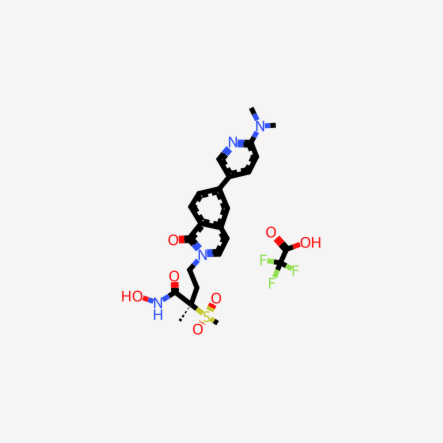 CN(C)c1ccc(-c2ccc3c(=O)n(CC[C@](C)(C(=O)NO)S(C)(=O)=O)ccc3c2)cn1.O=C(O)C(F)(F)F